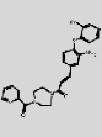 CC(C)c1ccccc1Sc1ccc(C=CC(=O)N2CCN(C(=O)c3ccccn3)CC2)cc1[N+](=O)[O-]